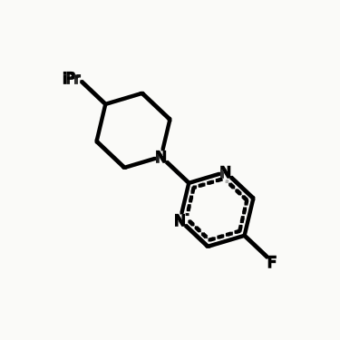 CC(C)C1CCN(c2ncc(F)cn2)CC1